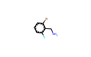 NCc1c(F)c[c]cc1Br